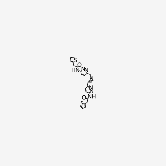 O=C(Cc1cccs1)Nc1ccc(C[C@H]2C[C@@H]2Cc2ccc(NC(=O)Cc3cccs3)nn2)nn1